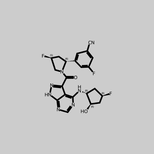 N#Cc1cc(F)cc([C@H]2C[C@H](F)CN2C(=O)c2n[nH]c3ncnc(N[C@@H]4C[C@@H](F)C[C@H]4O)c23)c1